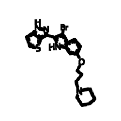 Brc1c(-c2n[nH]c3ccsc23)[nH]c2cc(OCCCN3CCCCC3)ccc12